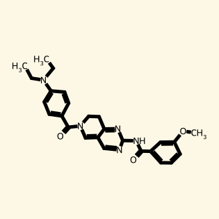 CCN(CC)c1ccc(C(=O)N2C=C3C=NC(NC(=O)c4cccc(OC)c4)N=C3CC2)cc1